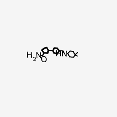 CC1(C)CCC(NCc2ccc(-c3cccc(C(N)=O)c3)cc2)CC1